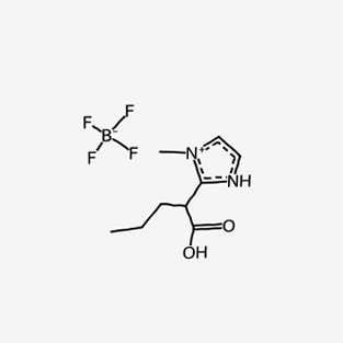 CCCC(C(=O)O)c1[nH]cc[n+]1C.F[B-](F)(F)F